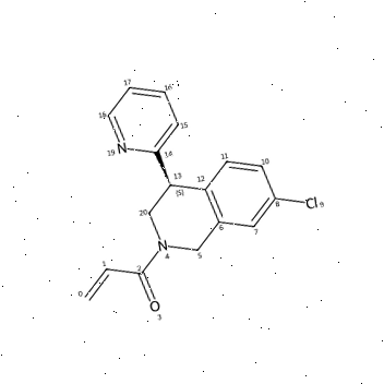 C=CC(=O)N1Cc2cc(Cl)ccc2[C@H](c2ccccn2)C1